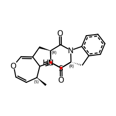 C#[SH]1S[C@@]23Cc4ccccc4N2C(=O)[C@@]12CC1=COC=C[C@H](C)C1N2C3=O